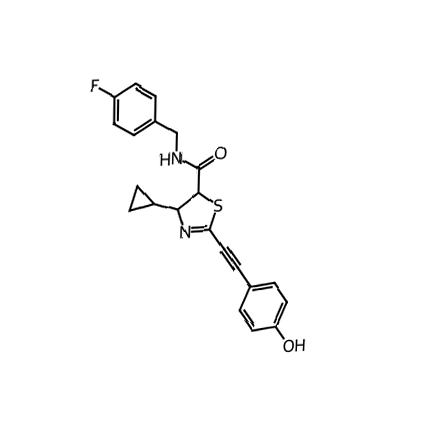 O=C(NCc1ccc(F)cc1)C1SC(C#Cc2ccc(O)cc2)=NC1C1CC1